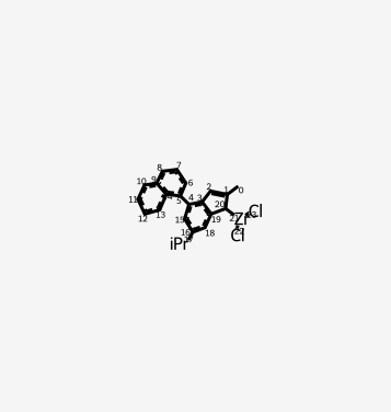 CC1=Cc2c(-c3cccc4ccccc34)cc(C(C)C)cc2[CH]1[Zr]([Cl])[Cl]